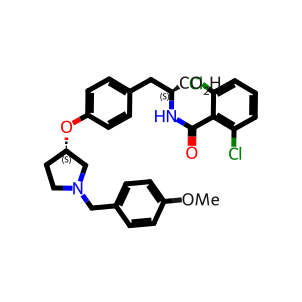 COc1ccc(CN2CC[C@H](Oc3ccc(C[C@H](NC(=O)c4c(Cl)cccc4Cl)C(=O)O)cc3)C2)cc1